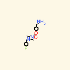 CC1CN(C(=O)COc2ccc(CCN)cc2)C(C)CN1Cc1ccc(F)cc1